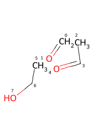 C=O.CC=O.CCO